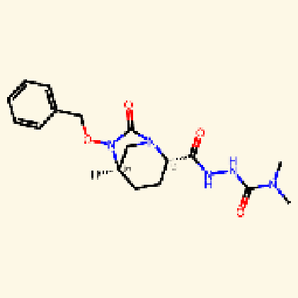 CN(C)C(=O)NNC(=O)[C@@H]1CC[C@@H]2CN1C(=O)N2OCc1ccccc1